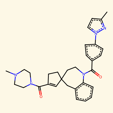 Cc1ccn(-c2ccc(C(=O)N3CCC4(C=C(C(=O)N5CCN(C)CC5)CC4)Cc4ccccc43)cc2)n1